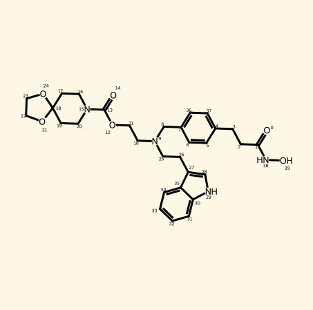 O=C(CCc1ccc(CN(CCOC(=O)N2CCC3(CC2)OCCO3)CCc2c[nH]c3ccccc23)cc1)NO